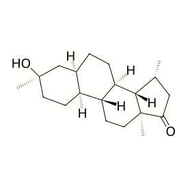 C[C@@H]1CC(=O)[C@@]2(C)CC[C@H]3[C@@H](CC[C@@H]4C[C@](C)(O)CC[C@@H]43)[C@H]12